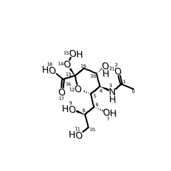 CC(=O)N[C@H]1[C@H]([C@H](O)[C@H](O)CO)O[C@](OO)(C(=O)O)C[C@@H]1O